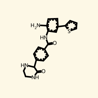 Nc1ccc(-c2cccs2)cc1NC(=O)c1ccc(C2NCCNC2=O)cc1